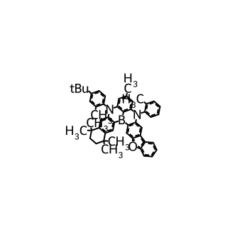 Cc1cc2c3c(c1)N(c1ccccc1C)c1cc4c(cc1B3c1cc3c(cc1N2c1ccc(C(C)(C)C)cc1C)C(C)(C)CCC3(C)C)oc1ccccc14